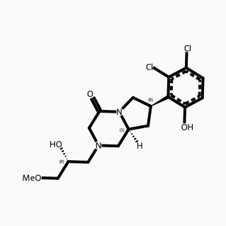 COC[C@H](O)CN1CC(=O)N2C[C@@H](c3c(O)ccc(Cl)c3Cl)C[C@H]2C1